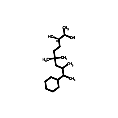 CC(CC(C)(C)CC[C@@H](O)C(C)O)C(C)C1CCCCC1